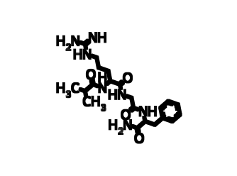 CC(C)C(=O)NC(CCCNC(=N)N)C(=O)NCC(=O)NC(Cc1ccccc1)C(N)=O